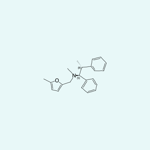 Cc1ccc(CN(C)[C@H](c2ccccc2)[C@H](C)c2ccccc2)o1